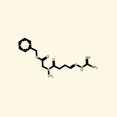 CN(CC(=O)OCc1ccccc1)C(=O)CCC=NNC(=N)N